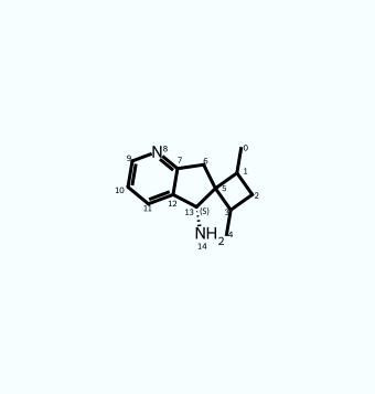 CC1CC(C)C12Cc1ncccc1[C@H]2N